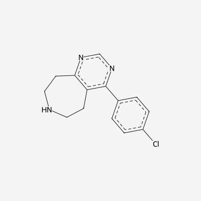 Clc1ccc(-c2ncnc3c2CCNCC3)cc1